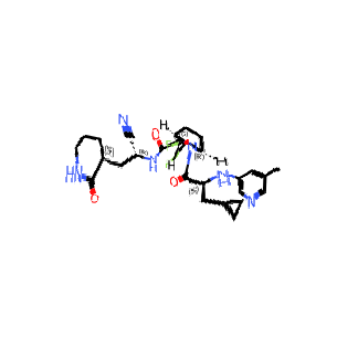 Cc1cncc(N[C@@H](CC2CC2)C(=O)N2[C@@H]3CC[C@H]([C@H]2C(=O)N[C@@H](C#N)C[C@@H]2CCCNC2=O)C(F)(F)C3)c1